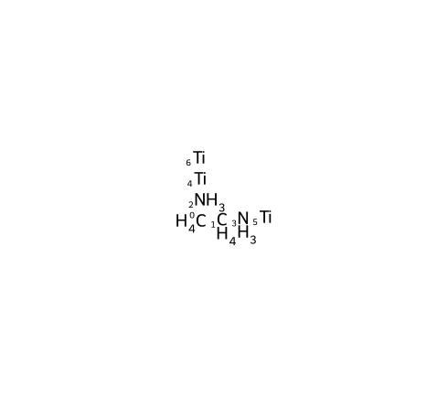 C.C.N.N.[Ti].[Ti].[Ti]